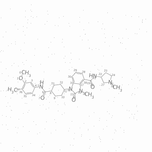 COc1cc(NC(=O)C2CCC(n3c(=O)n(C)c4c(C(=O)NC5CCN(C)C5)cccc43)CC2)ccc1C